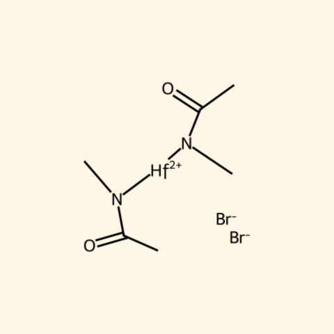 CC(=O)[N](C)[Hf+2][N](C)C(C)=O.[Br-].[Br-]